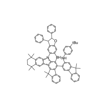 CC(C)(C)c1ccc(Nc2cc3c(cc2-c2c4c(c5c6cc7c(cc6n6c5c2Bc2cc5c(cc2-6)C(c2ccccc2)C(c2ccccc2)O5)C(C)(C)CCC7(C)C)C(C)(C)c2ccccc2-4)-c2ccccc2C3(C)C)cc1